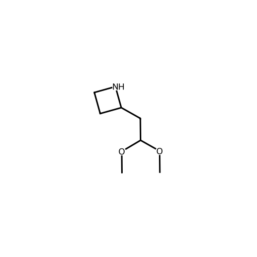 COC(CC1CCN1)OC